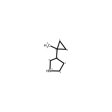 CC1(C2CCNC2)CC1